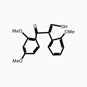 COc1ccc(C(=O)C(=CO)c2ccccc2OC)c(OC)c1